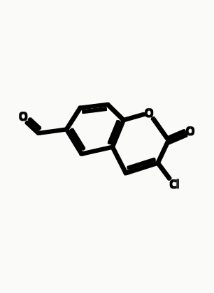 O=Cc1ccc2oc(=O)c(Cl)cc2c1